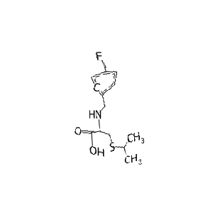 CC(C)SCC(NCc1ccc(F)cc1)C(=O)O